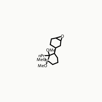 CCCC1(OC)C(C2CCC3OC3C2)CCC[Si]1(OC)OC